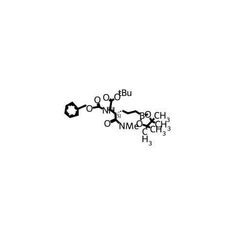 CNC(=O)[C@@H](CCCB1OC(C)(C)C(C)(C)O1)[C@H](NC(=O)OCc1ccccc1)C(=O)OC(C)(C)C